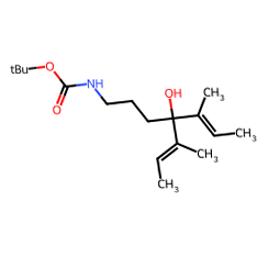 CC=C(C)C(O)(CCCNC(=O)OC(C)(C)C)C(C)=CC